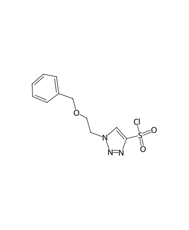 O=S(=O)(Cl)c1cn(CCOCc2ccccc2)nn1